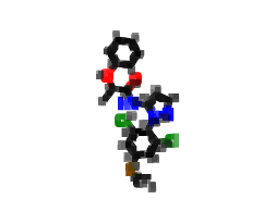 CC(Oc1ccccc1)C(=O)Nc1ccnn1-c1c(Cl)cc(SC(F)(F)F)cc1Cl